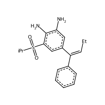 CCC=C(c1ccccc1)c1cc(N)c(N)c(S(=O)(=O)C(C)C)c1